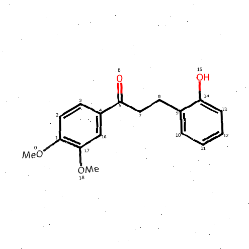 COc1ccc(C(=O)CCc2ccccc2O)cc1OC